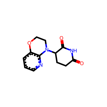 O=C1CCC(N2CCOc3cccnc32)C(=O)N1